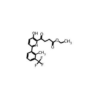 CCOC(=O)CCC(=O)c1nc(-c2cccc(C(F)(F)F)c2C)ccc1O